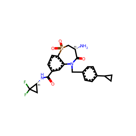 N[C@H]1CS(=O)(=O)c2ccc(C(=O)N[C@@H]3CC3(F)F)cc2N(Cc2ccc(C3CC3)cc2)C1=O